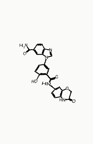 NC(=O)c1ccc2ncn(-c3ccc(O)c(C(=O)Nc4ccc5c(c4)OCC(=O)N5)c3)c2c1